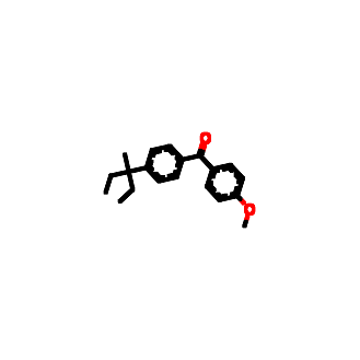 CCC(C)(CC)c1ccc(C(=O)c2ccc(OC)cc2)cc1